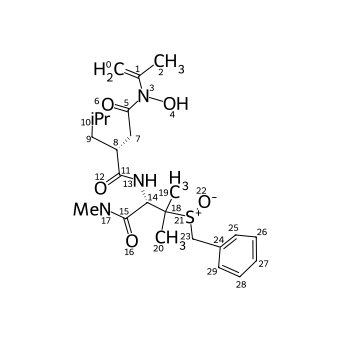 C=C(C)N(O)C(=O)C[C@@H](CC(C)C)C(=O)N[C@@H](C(=O)NC)C(C)(C)[S+]([O-])Cc1ccccc1